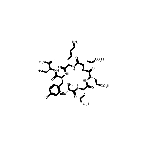 CCCC[C@H](N)C(=O)N[C@@H](CCC(=O)O)C(=O)N[C@@H](CCC(=O)O)C(=O)N[C@@H](CCC(=O)O)C(=O)N[C@@H](CCCCN)C(=O)N[C@@H](Cc1ccc(O)cc1)C(=O)N[C@@H](CS)C(N)=O